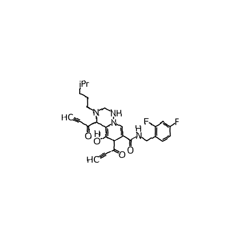 C#CC(=O)C1C(C(=O)NCc2ccc(F)cc2F)=CN2NCN(CCCC(C)C)C(C(=O)C#C)C2=C1O